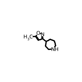 Cc1cc(C2CCCNCC2)no1